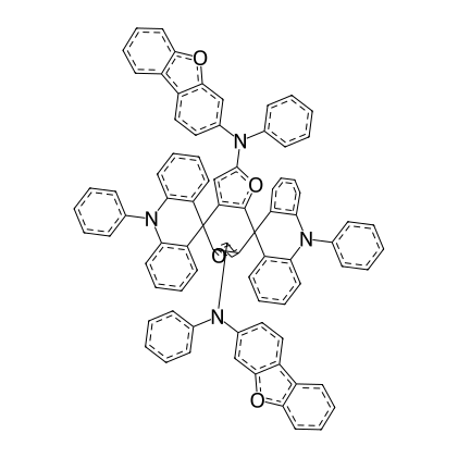 c1ccc(N(c2ccc3c(c2)oc2ccccc23)c2cc3c(o2)C2(c4ccccc4N(c4ccccc4)c4ccccc42)c2cc(N(c4ccccc4)c4ccc5c(c4)oc4ccccc45)oc2C32c3ccccc3N(c3ccccc3)c3ccccc32)cc1